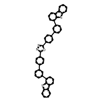 c1cc(-c2ccc(-c3nnc(-c4ccc(-c5cccc(-c6cccc7c6sc6ccccc67)c5)cc4)o3)cc2)cc(-c2cccc3c2sc2ccccc23)c1